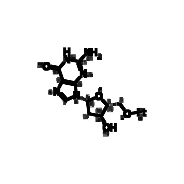 CCOC[C@H]1O[C@@H](n2cnc3c(=O)[nH]c(N)nc32)C[C@@H]1O